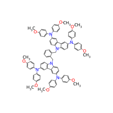 COc1ccc(N(c2ccc(OC)cc2)c2ccc3c(c2)c2cc(N(c4ccc(OC)cc4)c4ccc(OC)cc4)ccc2n3Cc2ccccc2Cn2c3ccc(N(c4ccc(OC)cc4)c4ccc(OC)cc4)cc3c3cc(N(c4ccc(OC)cc4)c4ccc(OC)cc4)ccc32)cc1